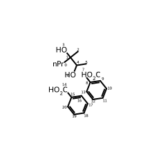 CCCC(C)(O)C(C)O.O=C(O)c1ccccc1.O=C(O)c1ccccc1